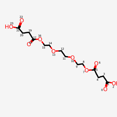 O=C(O)CCC(=O)OCCOCCOCCOC(=O)CCC(=O)O